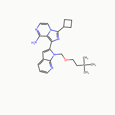 C[Si](C)(C)CCOCn1c(-c2nc(C3CCC3)n3ccnc(N)c23)cc2cccnc21